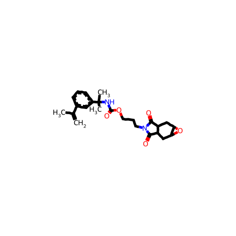 C=C(C)c1cccc(C(C)(C)NC(=O)OCCCN2C(=O)C3CC4OC4CC3C2=O)c1